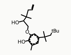 C=CCC(C)(C)C(O)COc1cc(C(C)(C)CC(C)(C)C)cc(C)c1O